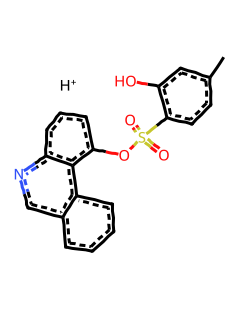 Cc1ccc(S(=O)(=O)Oc2cccc3ncc4ccccc4c23)c(O)c1.[H+]